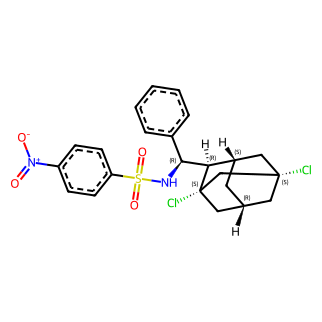 O=[N+]([O-])c1ccc(S(=O)(=O)N[C@@H](c2ccccc2)[C@H]2[C@H]3C[C@@H]4C[C@](Cl)(C3)C[C@@]2(Cl)C4)cc1